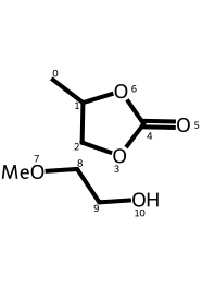 CC1COC(=O)O1.COCCO